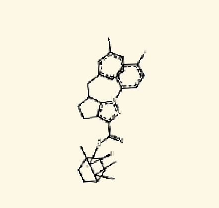 CC12CCC(CC1)C(C)(C)[C@H]2NC(=O)c1nn(-c2ccc(F)cc2F)c2c1CCC2Cc1cccc(F)c1